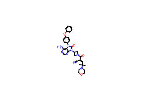 CC(C)(C=C(C#N)C(=O)N1CC(n2c(=O)n(-c3ccc(Oc4ccccc4)cc3)c3c(N)ncnc32)C1)N1CCOCC1